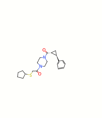 O=C(CSC1CCCC1)N1CCN(C(=O)[C@@H]2C[C@H]2c2ccccc2)CC1